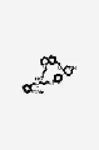 COc1ccccc1COCCCOc1ccc([C@H]2CCNC[C@@H]2OCc2ccc3c(c2)N(CCCO)CCC3)cc1